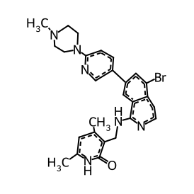 Cc1cc(C)c(CNc2nccc3c(Br)cc(-c4ccc(N5CCN(C)CC5)nc4)cc23)c(=O)[nH]1